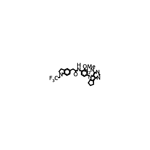 COc1cc(-n2c3c(c4ncnc(N)c42)CCC3)ccc1NC(=O)Cc1ccc2c(c1)CCN2CC(F)(F)F